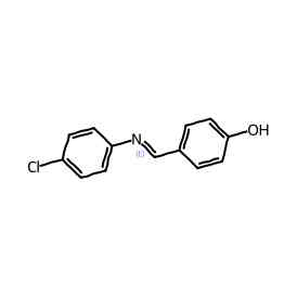 Oc1ccc(/C=N/c2ccc(Cl)cc2)cc1